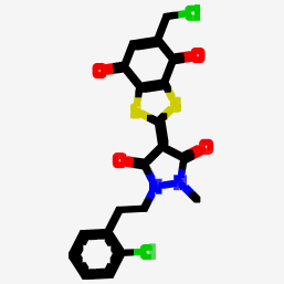 CN1C(=O)/C(=C2/SC3=C(S2)C(=O)C(CCl)=CC3=O)C(=O)N1CCc1ccccc1Cl